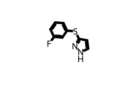 Fc1cccc(Sc2cc[nH]n2)c1